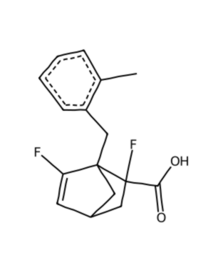 Cc1ccccc1CC12CC(C=C1F)CC2(F)C(=O)O